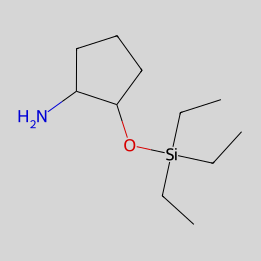 CC[Si](CC)(CC)OC1CCCC1N